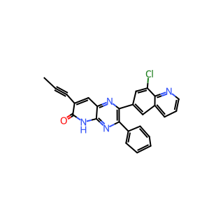 CC#Cc1cc2nc(-c3cc(Cl)c4ncccc4c3)c(-c3ccccc3)nc2[nH]c1=O